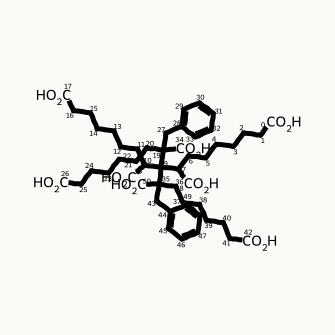 O=C(O)CCCCCCC(C(=O)O)C(C(CCCCCCC(=O)O)C(=O)O)(C(CCCCCCC(=O)O)(Cc1ccccc1)C(=O)O)C(CCCCCCC(=O)O)(Cc1ccccc1)C(=O)O